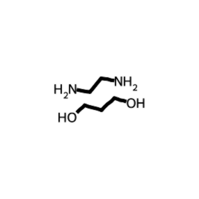 NCCN.OCCCO